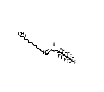 CCCCCCCCCCCCN1C=CN(CCCC(F)(F)C(F)(F)C(F)(F)C(F)(F)C(F)(F)C(F)(F)F)C1.I